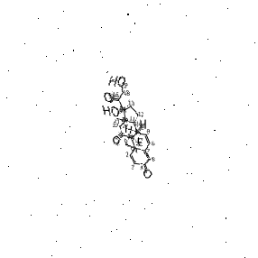 C[C@]12C=CC(=O)C=C1C=C[C@H]1[C@@H]3CC[C@](O)(C(=O)CO)[C@@]3(C)CC(=O)[C@@]12F